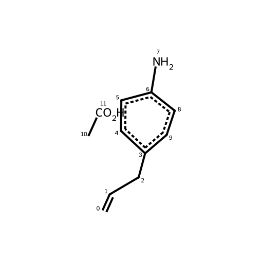 C=CCc1ccc(N)cc1.CC(=O)O